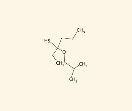 CCCC(S)(CC)OCC(C)C